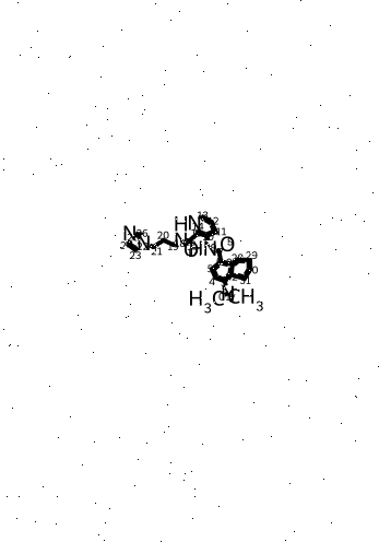 CN(C)c1ccc(C(=O)Nc2cccnc2C(=O)NCCCn2ccnc2)c2ccccc12